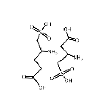 NC(CC(=O)O)CS(=O)(=O)O.NC(CCC(=O)O)CS(=O)(=O)O